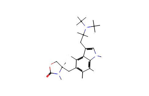 [2H]c1c(C[C@@]2([2H])COC(=O)N2[2H])c([2H])c2c(CC([2H])([2H])N(C([2H])([2H])[2H])C([2H])([2H])[2H])cn([2H])c2c1[2H]